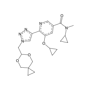 CN(C(=O)c1cnc(-c2cn(CC3OCC4(CC4)CO3)nn2)c(OC2CC2)c1)C1CC1